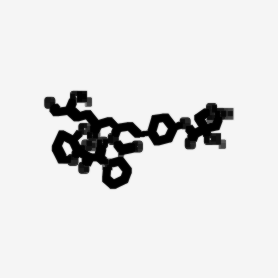 C/C(C=O)=C\CC(=O)C[C@@H](CC[C@H]1CC[C@H](OC(=O)C(C)(CO)CO)CC1)OC(=O)[C@@H]1CCCCN1C(=O)C(=O)[C@]1(O)OC=CC[C@H]1C